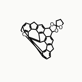 c1c2c3c4c(cc5c6c7c(cc8c9c%10c(cc%11c%12c(c1C%11)c3c(c46)c(c%12%10)c79)C1OC3(CCCO3)OC81)C5)CC2